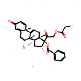 CCC(=O)OCC(=O)[C@]1(OC(=O)c2ccccc2)[C@H](C)C[C@H]2[C@H]3C(=CC[C@@]21C)[C@@]1(C)C=CC(=O)C=C1C[C@H]3Br